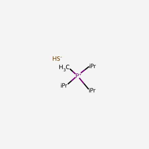 CC(C)[P+](C)(C(C)C)C(C)C.[SH-]